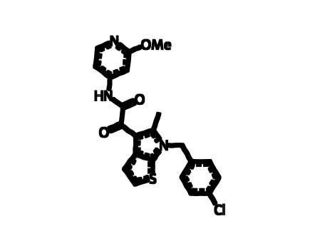 COc1cc(NC(=O)C(=O)c2c(C)n(Cc3ccc(Cl)cc3)c3sccc23)ccn1